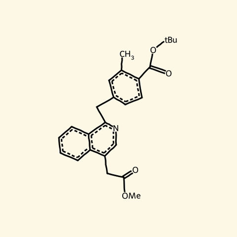 COC(=O)Cc1cnc(Cc2ccc(C(=O)OC(C)(C)C)c(C)c2)c2ccccc12